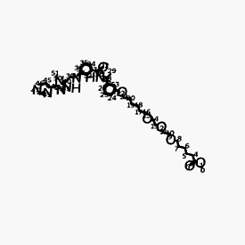 COC(=O)CCCCCOCCOCCOCCCCCCOc1cccc(C(C)NC(=O)c2cccc(NCc3nnc(-c4ccncn4)n3C)c2)c1